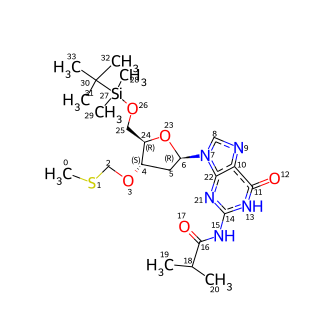 CSCO[C@H]1C[C@H](n2cnc3c(=O)[nH]c(NC(=O)C(C)C)nc32)O[C@@H]1CO[Si](C)(C)C(C)(C)C